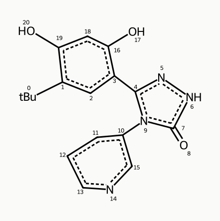 CC(C)(C)c1cc(-c2n[nH]c(=O)n2-c2cccnc2)c(O)cc1O